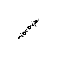 CCC(C)n1ncn(-c2ccc(N3CCN(c4ccc(OC[C@@H]5CO[C@@](CN(C)C)(c6ccc(Cl)cc6Cl)O5)cc4)CC3)cc2)c1=O